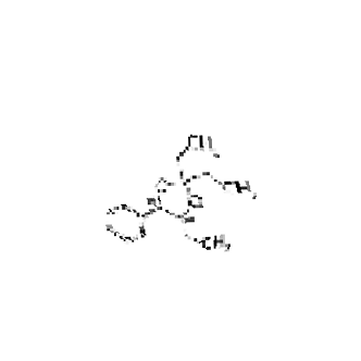 CC[C@H]1OC(CC)(CC)O[C@@H]1c1ccccc1